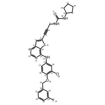 O=C(NCC#Cc1cc2ncnc(Nc3ccc(OCc4cccc(F)c4)c(Cl)c3)c2s1)NC1CCCC1